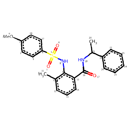 COc1ccc(S(=O)(=O)Nc2c(C)cccc2C(=O)NC(C)c2ccccc2)cc1